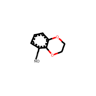 O=Nc1cccc2c1OCCO2